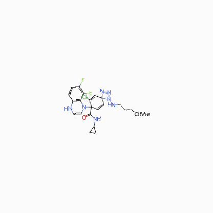 COCCCNN1N=NC12C=CC(C(=O)NC1CC1)(N1C=CNc3ccc(F)c(F)c31)C(Cl)=C2